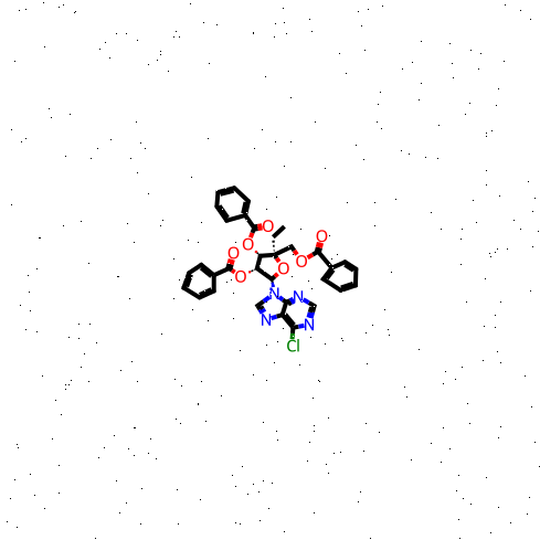 CC[C@]1(COC(=O)c2ccccc2)O[C@@H](n2cnc3c(Cl)ncnc32)[C@H](OC(=O)c2ccccc2)[C@@H]1OC(=O)c1ccccc1